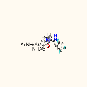 CC(=O)NCCCC[C@H](NC(C)=O)C(=O)[C@@]12CC[C@@H](C[C@H]([C@H](N)Cc3cc(F)c(F)cc3F)C1)N2